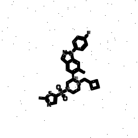 Cc1ncc(S(=O)(=O)N2CCN(CC3CCC3)[C@H](c3cc4cnn(-c5ccc(F)cc5)c4cc3C)C2)s1